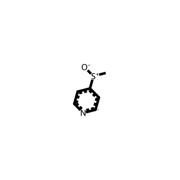 C[S+]([O-])c1c[c]ncc1